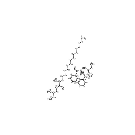 CC(O)CO.CCCCCCCCCCCCCCCCC(O)C(=O)OCC(O)CO.O=C(O)c1ccccc1.O=C(O)c1ccccc1